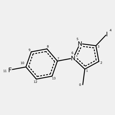 Cc1cc(I)nn1-c1ccc(F)cc1